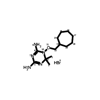 Br.CC1(C)N=C(N)N=C(N)N1OCC1CCCCCC1